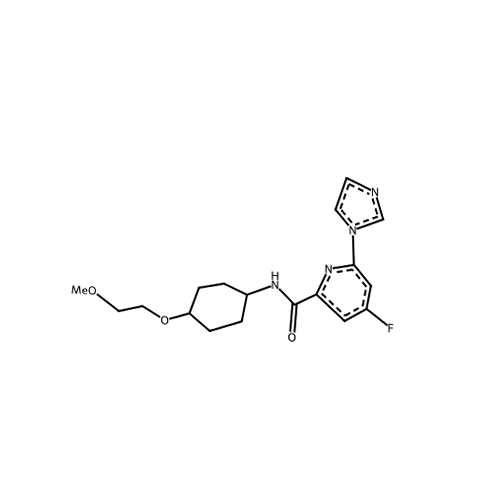 COCCOC1CCC(NC(=O)c2cc(F)cc(-n3ccnc3)n2)CC1